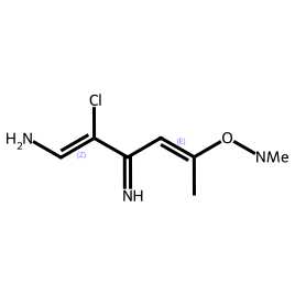 CNO/C(C)=C/C(=N)/C(Cl)=C/N